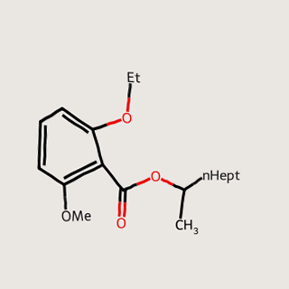 CCCCCCCC(C)OC(=O)c1c(OC)cccc1OCC